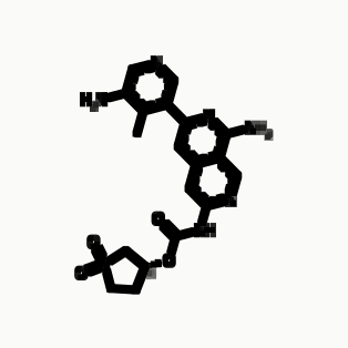 Cc1c(N)cncc1-c1cc2cc(NC(=O)O[C@@H]3CCS(=O)(=O)C3)ncc2c(N)n1